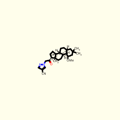 COC1CC(C)(C)C[C@H]2CC[C@@H]3[C@H](CC[C@]4(C)[C@@H](C(=O)Cn5cc(C#N)cn5)CC[C@@H]34)[C@@H]12